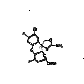 COc1cc(F)c2c(c1)[C@@]1(COC(N)=N1)c1cc(Br)c(F)cc1O2